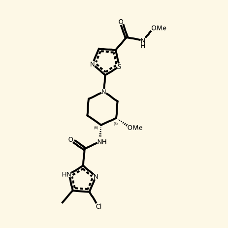 CONC(=O)c1cnc(N2CC[C@@H](NC(=O)c3nc(Cl)c(C)[nH]3)[C@@H](OC)C2)s1